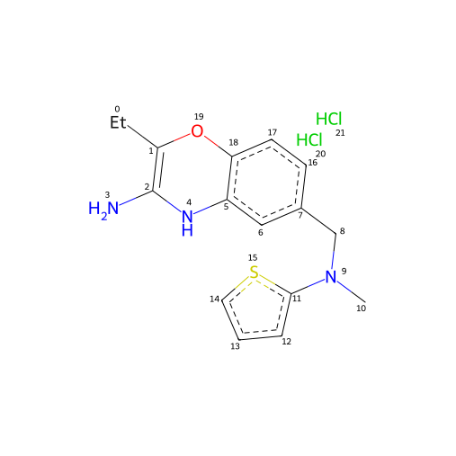 CCC1=C(N)Nc2cc(CN(C)c3cccs3)ccc2O1.Cl.Cl